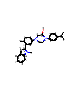 Cc1ccc(N2CCN(c3ccc(C(C)C)cc3)C(=O)C2)cc1-c1bc2ccccc2n1C